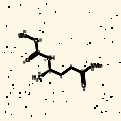 CNC(=O)CC[C@@H](C)NC(=O)OC(C)(C)C